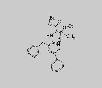 CCOP(C)(=O)C(Nc1ncc(-c2ccccc2)nc1Cc1ccccc1)C(=O)OC(C)(C)C